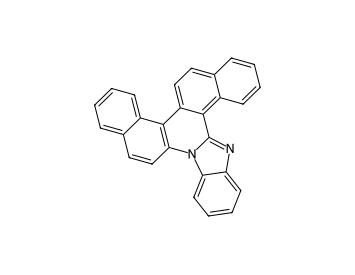 c1ccc2c(c1)ccc1c2c2ccc3ccccc3c2c2nc3ccccc3n12